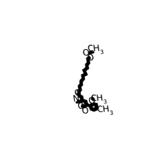 CCC(=O)OCCCCCCCCCCCCOc1cc2cc(-c3ccc(C)cc3OC)c(=O)oc2cn1